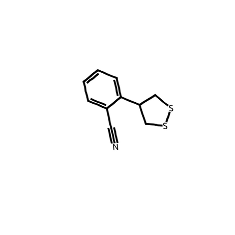 N#Cc1ccccc1C1CSSC1